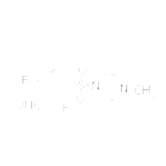 CN1CCN(S(=O)(=O)c2ccc(F)c([C]=O)c2F)CC1